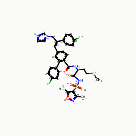 CSCC[C@H](NC(=O)c1ccc(/C=C(/Cn2ccnc2)c2ccc(F)cc2)cc1-c1ccc(F)cc1)C(=O)NS(=O)(=O)c1c(C)noc1C